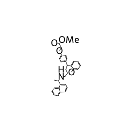 COC(=O)COc1ccc(C2CC(CN[C@H](C)c3cccc4ccccc34)Oc3ccccc32)cc1